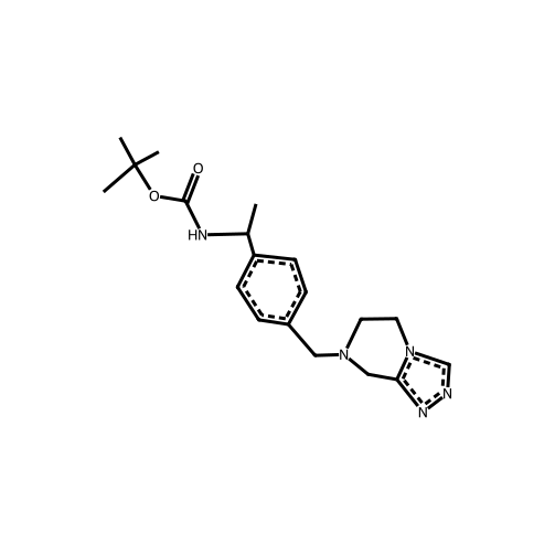 CC(NC(=O)OC(C)(C)C)c1ccc(CN2CCn3cnnc3C2)cc1